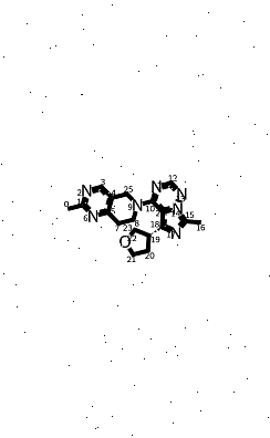 Cc1ncc2c(n1)CCN(c1ncnn3c(C)nc([C@@H]4CCOC4)c13)C2